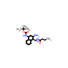 CCCC(=O)NCc1c(N)cc(NC(=O)OC(C)(C)C)c2ccccc12